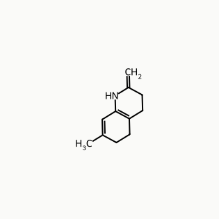 C=C1CCC2=C(C=C(C)CC2)N1